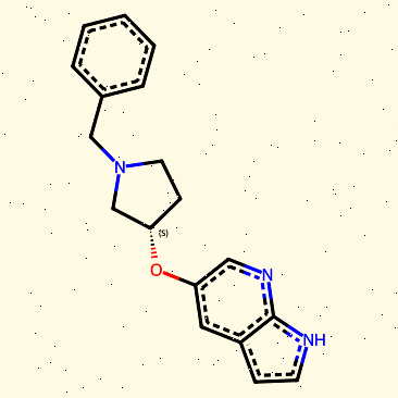 c1ccc(CN2CC[C@H](Oc3cnc4[nH]ccc4c3)C2)cc1